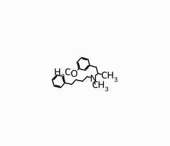 COc1cccc(CC(C)N(C)CCCCc2ccccc2)c1